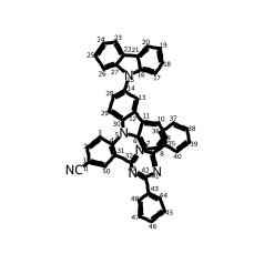 N#Cc1ccc(-n2c3ccccc3c3cc(-n4c5ccccc5c5ccccc54)ccc32)c(-c2nc(-c3ccccc3)nc(-c3ccccc3)n2)c1